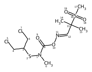 CN(SC(CCl)CCl)C(=O)ON=CC(C)(C)S(C)(=O)=O